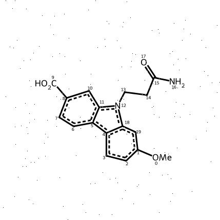 COc1ccc2c3ccc(C(=O)O)cc3n(CCC(N)=O)c2c1